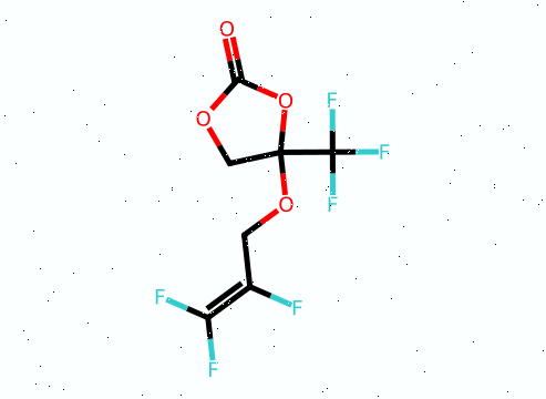 O=C1OCC(OCC(F)=C(F)F)(C(F)(F)F)O1